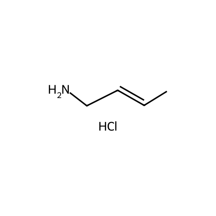 CC=CCN.Cl